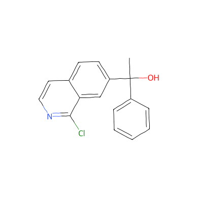 CC(O)(c1ccccc1)c1ccc2ccnc(Cl)c2c1